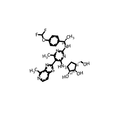 Cc1nc(N[C@H](C)c2ccc(OC(F)F)cc2)nc(N[C@@H]2C[C@H](CO)[C@@H](O)[C@H]2O)c1-c1nc2c(C)nccc2s1